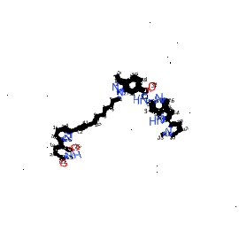 Cc1nn(CCCCCCCC#Cc2cccc(C3CCC(=O)NC3=O)n2)c2cc(C(=O)Nc3cc4[nH]c([C@H]5CCCN5C)cc4cn3)ccc12